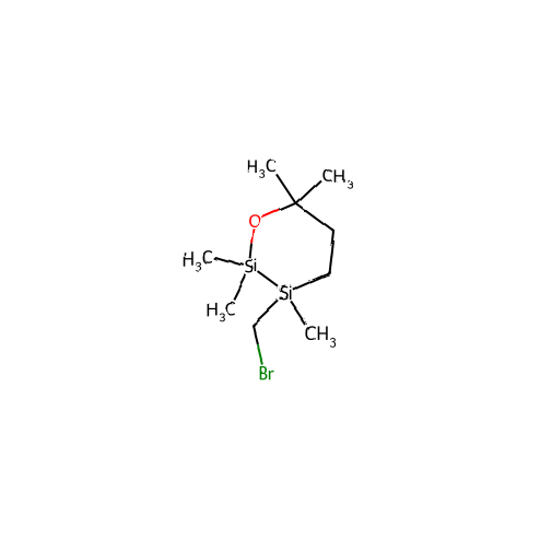 CC1(C)CC[Si](C)(CBr)[Si](C)(C)O1